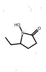 CCC1CCC(=O)N1O